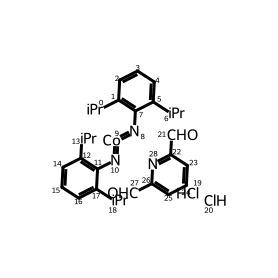 CC(C)c1cccc(C(C)C)c1[N]=[Co]=[N]c1c(C(C)C)cccc1C(C)C.Cl.Cl.O=Cc1cccc(C=O)n1